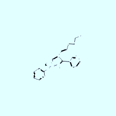 CCCCC=Cc1cn(S(=O)(=O)c2ccccc2)nc1-c1cccnc1